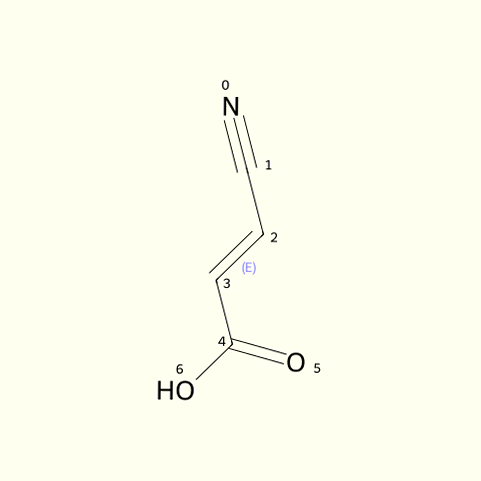 N#C/C=C/C(=O)O